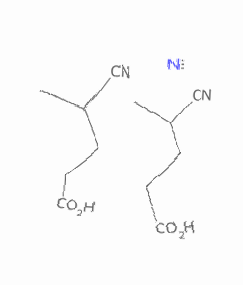 CC(C#N)CCC(=O)O.CC(C#N)CCC(=O)O.[N]